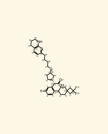 O=C(O)[C@H](c1cc(F)ccc1C1CCC2(CC1)CC(F)(F)C2)N1CC[C@@H](OCCCCc2ccc3c(n2)NCCC3)C1